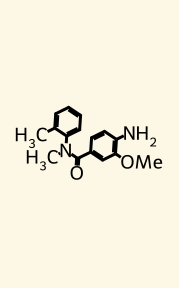 COc1cc(C(=O)N(C)c2ccccc2C)ccc1N